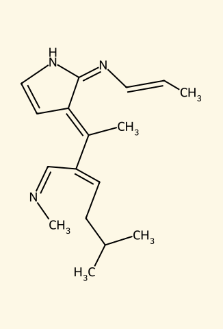 C/C=C/N=C1/NC=C/C1=C(/C)C(=CCC(C)C)/C=N\C